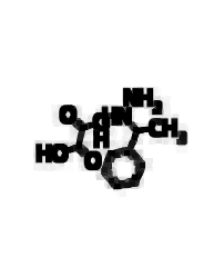 CC(NN)c1ccccc1.O=C(O)C(=O)O